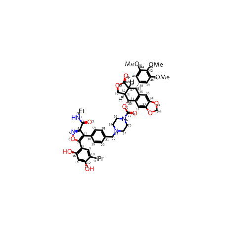 CCNC(=O)c1noc(-c2cc(C(C)C)c(O)cc2O)c1-c1ccc(CN2CCN(C(=O)O[C@H]3c4cc5c(cc4[C@@H](c4cc(OC)c(OC)c(OC)c4)[C@H]4C(=O)OC[C@@H]43)OCO5)CC2)cc1